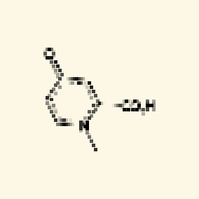 Cn1ccc(=O)cc1C(=O)O